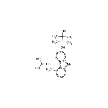 CC(C)(O)C(C)(C)O.Cc1cccc2[nH]c3ccccc3c12.OB(O)O